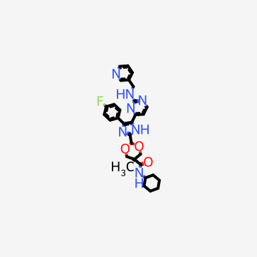 CC1(C(=O)NC2CCCCC2)COC(c2nc(-c3ccc(F)cc3)c(-c3ccnc(NCc4cccnc4)n3)[nH]2)OC1